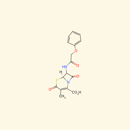 CC1=C(C(=O)O)N2C(=O)C(NC(=O)COc3ccccc3)[C@@H]2SC1=O